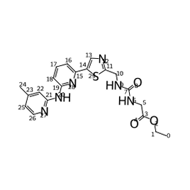 CCOC(=O)CNC(=O)NCc1ncc(-c2cccc(Nc3cc(C)ccn3)n2)s1